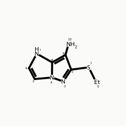 CCSc1nn2cc[nH]c2c1N